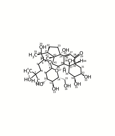 CC(C)(O)CCC(OC1C[C@@H](O)[C@H](O)[C@@H](CO)O1)[C@](C)(O)[C@H]1CC[C@@]2(O)C3=CC(=O)[C@@H]4C[C@@H](O)[C@@H](O)C[C@]4(C)[C@H]3CC[C@]12C